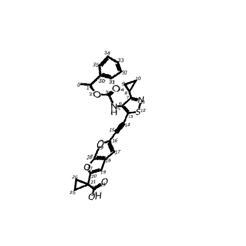 CC(OC(=O)Nc1c(C2CC2)nsc1C#Cc1cc2cc(C3(C(=O)O)CC3)oc2o1)c1ccccc1